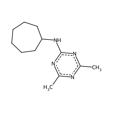 Cc1nc(C)nc(NC2CCCCCC2)n1